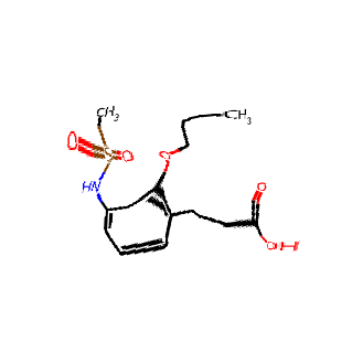 CCCOc1c(CCC(=O)O)cccc1NS(C)(=O)=O